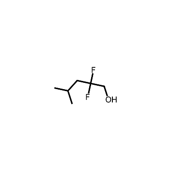 CC(C)CC(F)(F)CO